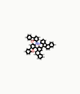 B1c2cccc3c2C(c2cc4c(c(-c5c(Nc6cccc7c6oc6ccccc67)ccc6c5oc5ccccc56)c21)CCc1ccccc1-4)c1ccc2ccccc2c1-3